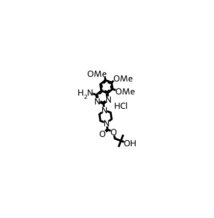 COc1cc2c(N)nc(N3CCN(C(=O)OCC(C)(C)O)CC3)nc2c(OC)c1OC.Cl